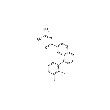 Cc1c(F)cccc1-c1cccc2ccc(C(=O)N=C(N)N)cc12